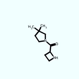 CC1(C)CCN(C(=O)C2CCN2)C1